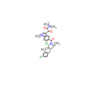 C[C@@H]1CC(Cc2ccc(F)cc2)[C@@H](C)CN1C(=O)c1cc2c(C(=O)C(=O)N(C)C)cn(C)c2cc1Cl